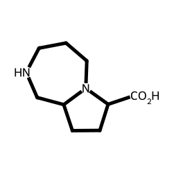 O=C(O)C1CCC2CNCCCN21